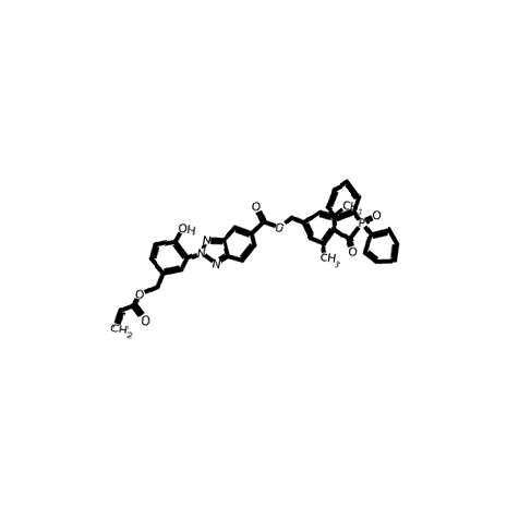 C=CC(=O)OCc1ccc(O)c(-n2nc3ccc(C(=O)OCc4cc(C)c(C(=O)P(=O)(c5ccccc5)c5ccccc5)c(C)c4)cc3n2)c1